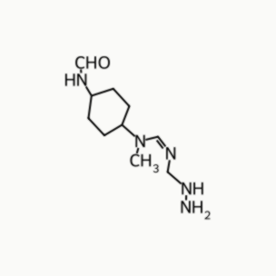 CN(/C=N\CNN)C1CCC(NC=O)CC1